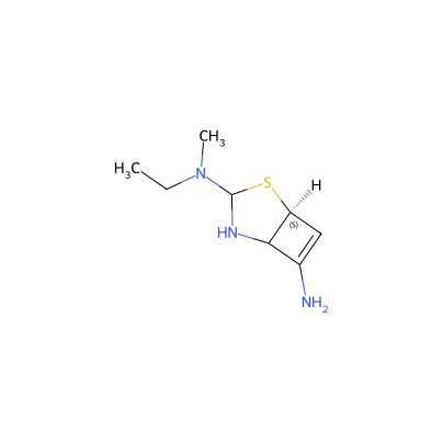 CCN(C)C1NC2C(N)=C[C@@H]2S1